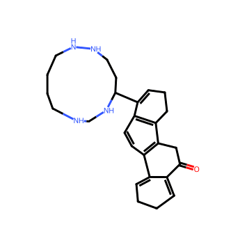 O=C1Cc2c(ccc3c2CCC=C3C2CCNNCCCCNCN2)C2=CCCC=C12